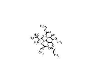 CCOC(=O)OC1C(O)C(OC)C(OC(=O)OCC)C(OC(=O)OCC)C1OC(=O)[C@@H](N)C(C)C